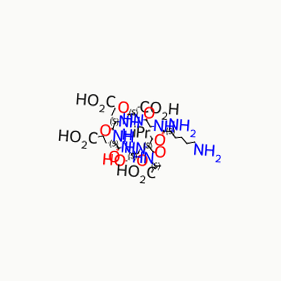 CC(C)C[C@H](NC(=O)[C@H](CO)NC(=O)[C@H](CCC(=O)O)NC(=O)[C@H](CCC(=O)O)NC(=O)[C@H](CC(=O)O)NC(=O)CNC(=O)[C@@H](N)CCCCN)C(=O)N[C@@H](C)C(=O)O